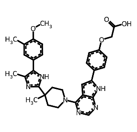 COc1ccc(-c2[nH]c(C3(C)CCN(c4ncnc5[nH]c(-c6ccc(OCC(=O)O)cc6)cc45)CC3)nc2C)cc1C